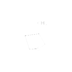 C.C1CCSC1